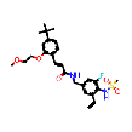 C=Cc1cc(CNC(=O)C=Cc2ccc(C(C)(C)C)cc2OCCOC)cc(F)c1NS(C)(=O)=O